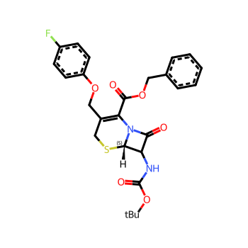 CC(C)(C)OC(=O)NC1C(=O)N2C(C(=O)OCc3ccccc3)=C(COc3ccc(F)cc3)CS[C@@H]12